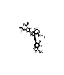 C=CC(=O)N1C[C@@H](n2nc(C#Cc3cc4ncn(CC)c4cc3F)c3c(N)ncnc32)C[C@@H]1C(F)F